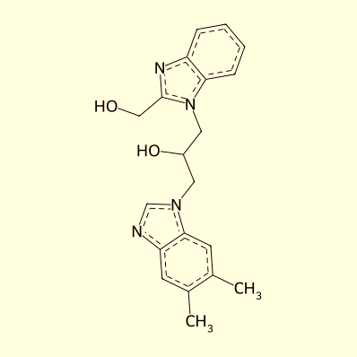 Cc1cc2ncn(CC(O)Cn3c(CO)nc4ccccc43)c2cc1C